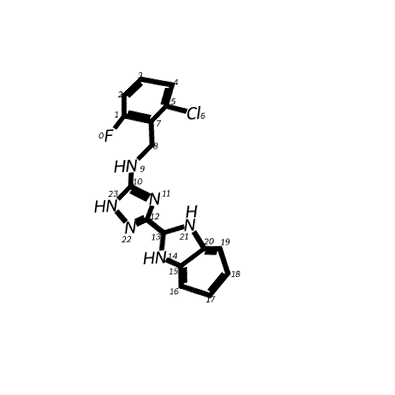 Fc1cccc(Cl)c1CNc1nc(C2Nc3ccccc3N2)n[nH]1